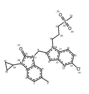 Cc1ccc2c(c1)n(Cc1cc3nc(Cl)ccc3n1CCCS(C)(=O)=O)c(=O)n2C1CC1